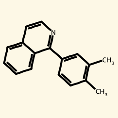 Cc1ccc(-c2nccc3ccccc23)cc1C